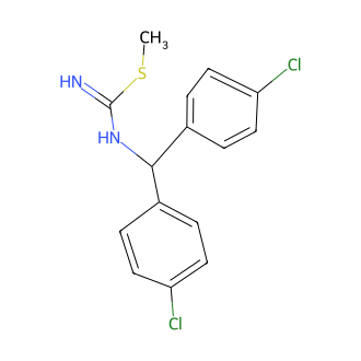 CSC(=N)NC(c1ccc(Cl)cc1)c1ccc(Cl)cc1